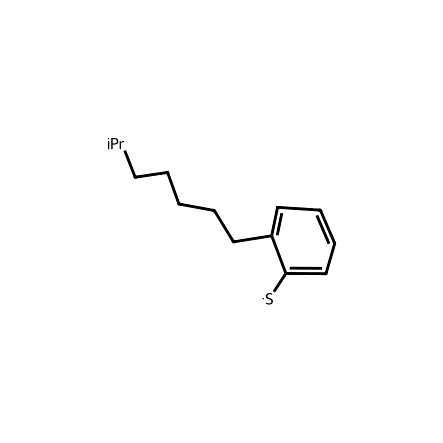 CC(C)CCCCCc1ccccc1[S]